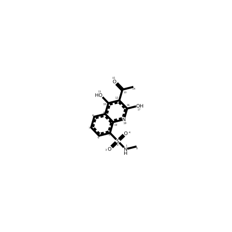 CNS(=O)(=O)c1cccc2c(O)c(C(C)=O)c(O)nc12